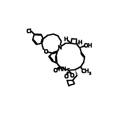 C[C@@H]1C/C=C/[C@H](O)[C@@H]2CC[C@H]2CN2CCCCc3cc(Cl)ccc3COc3ccc(cc32)C(=O)NS(=O)(=O)[C@H]1CC1CCC1